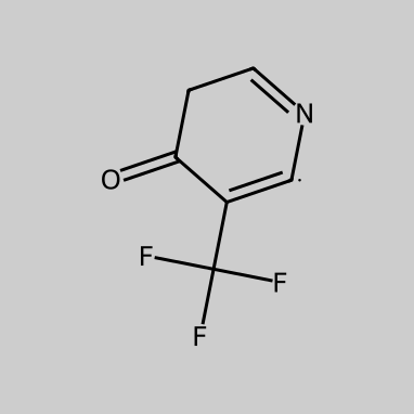 O=C1CC=N[C]=C1C(F)(F)F